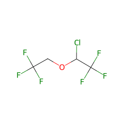 FC(F)(F)COC(Cl)C(F)(F)F